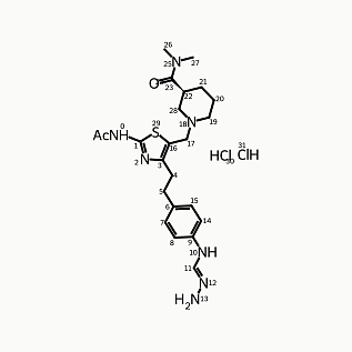 CC(=O)Nc1nc(CCc2ccc(NC=NN)cc2)c(CN2CCC[C@H](C(=O)N(C)C)C2)s1.Cl.Cl